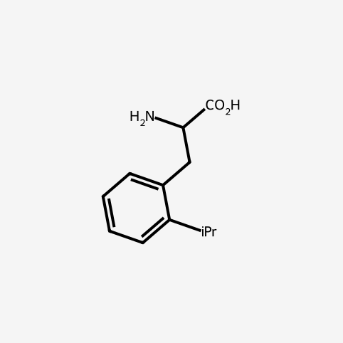 CC(C)c1ccccc1CC(N)C(=O)O